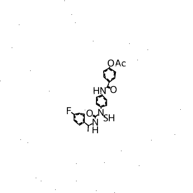 CC(=O)Oc1ccc(C(=O)Nc2ccc(N(S)C(=O)NC(C)c3ccc(F)cc3)cc2)cc1